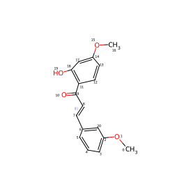 COc1cccc(/C=C/C(=O)c2ccc(OC)cc2O)c1